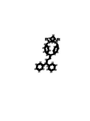 CCN1c2ccc(cc2)C(=CC=C(c2ccccc2)c2ccccc2)c2ccc(cc2)N(CC)C12CCC2